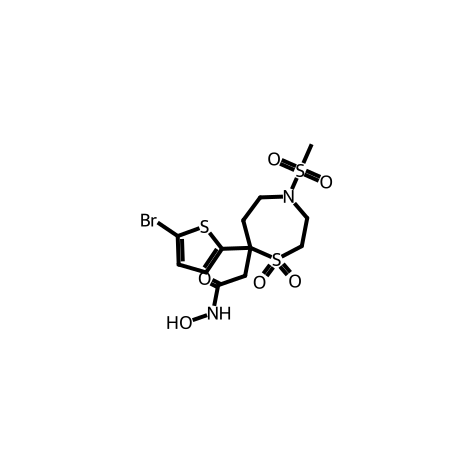 CS(=O)(=O)N1CCC(CC(=O)NO)(c2ccc(Br)s2)S(=O)(=O)CC1